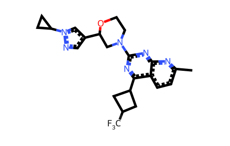 Cc1ccc2c(C3CC(C(F)(F)F)C3)nc(N3CCOC(c4cnn(C5CC5)c4)C3)nc2n1